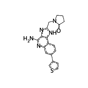 Nc1nc2cc(-c3ccsc3)ccc2c2[nH]c(CN3CCCC3=O)nc12